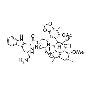 C#CS[C@@H]1c2c(OC(C)=O)c(C)c3c(c2[C@H](COC(=O)[C@@H]2N[C@@H](CN)Cc4c2[nH]c2ccccc42)N2[C@@H]1[C@H]1c4c(cc(C)c(OC)c4O)C4(C)CC2(C#N)CN14)OCO3